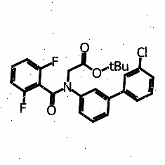 CC(C)(C)OC(=O)CN(C(=O)c1c(F)cccc1F)c1cccc(-c2cccc(Cl)c2)c1